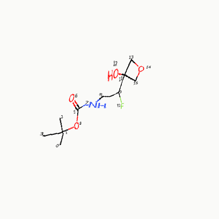 CC(C)(C)OC(=O)NCC(F)C1(O)COC1